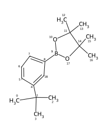 CC(C)(C)c1[c]ccc(B2OC(C)(C)C(C)(C)O2)c1